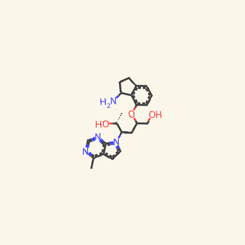 Cc1ncnc2c1ccn2C(CC(CO)Oc1cccc2c1C(N)CC2)[C@@H](C)O